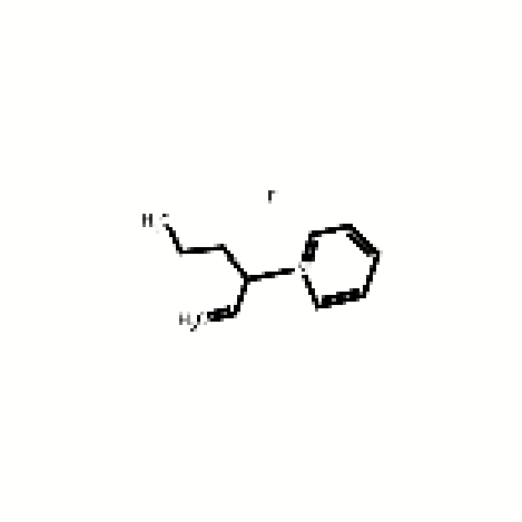 C=CC(CCC)[n+]1ccccc1.[I-]